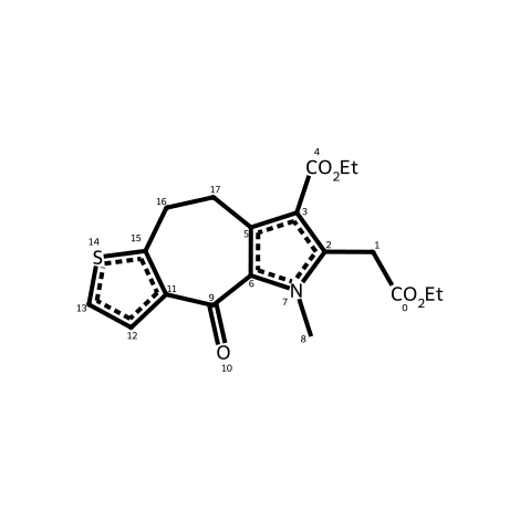 CCOC(=O)Cc1c(C(=O)OCC)c2c(n1C)C(=O)c1ccsc1CC2